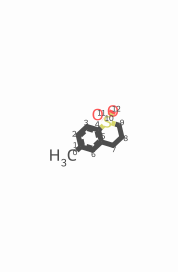 Cc1ccc2c(c1)CCCS2(=O)=O